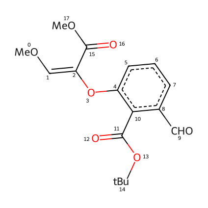 COC=C(Oc1cccc(C=O)c1C(=O)OC(C)(C)C)C(=O)OC